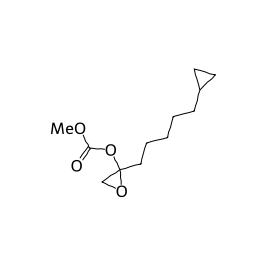 COC(=O)OC1(CCCCCC2CC2)CO1